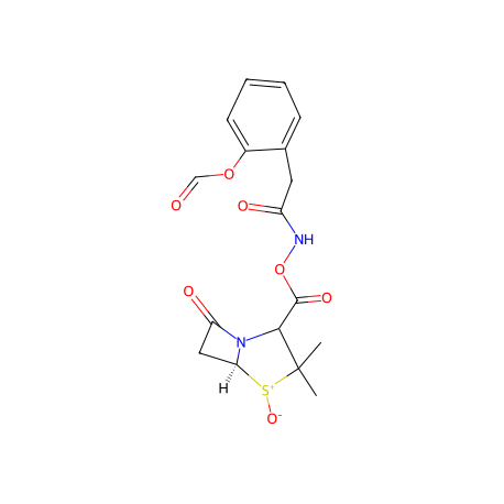 CC1(C)C(C(=O)ONC(=O)Cc2ccccc2OC=O)N2C(=O)C[C@@H]2[S+]1[O-]